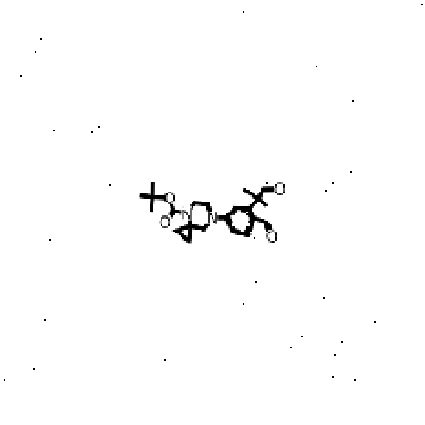 CC(C)(C)OC(=O)N1CCN(c2ccc(C=O)c(C(C)(C)C=O)c2)CC12CC2